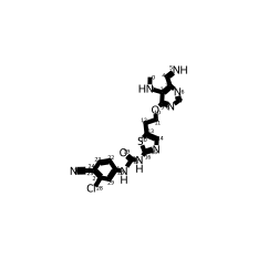 CNc1c(C=N)ncnc1OCCc1cnc(NC(=O)Nc2ccc(C#N)c(Cl)c2)s1